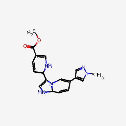 COC(=O)C1=CNC(C2=CNC3C=CC(c4cnn(C)c4)=CN23)C=C1